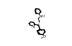 COc1ccc([C@@H](CCNc2ccccc2)c2ccccn2)cc1